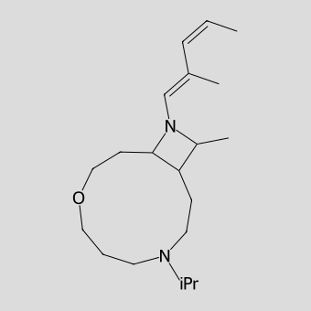 C/C=C\C(C)=C\N1C(C)C2CCN(C(C)C)CCCOCCC21